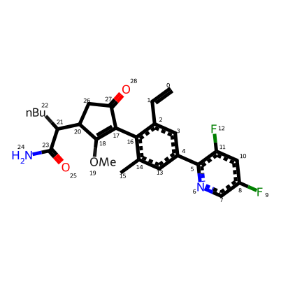 C=Cc1cc(-c2ncc(F)cc2F)cc(C)c1C1=C(OC)C(C(CCCC)C(N)=O)CC1=O